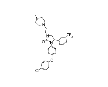 CN1CCN(CCN2CC(c3cccc(C(F)(F)F)c3)N(c3ccc(Oc4ccc(Cl)cc4)cc3)C2=O)CC1